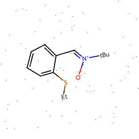 CCSc1ccccc1/C=[N+](\[O-])C(C)(C)C